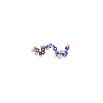 O=C1CCC(c2coc3ccc4cc(NC(=O)CN5CCN(CC6CCC(n7cc(NC(=O)c8cnn9ccc(N%10CC%11CC%10CO%11)nc89)c(C(F)F)n7)CC6)CC5)ccc4c23)C(=O)N1